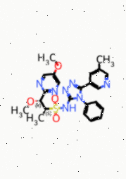 COc1cnc([C@@H](OC)[C@H](C)S(=O)(=O)Nc2nnc(-c3cncc(C)c3)n2-c2ccccc2)nc1